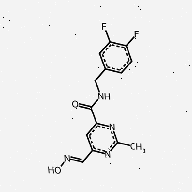 Cc1nc(C=NO)cc(C(=O)NCc2ccc(F)c(F)c2)n1